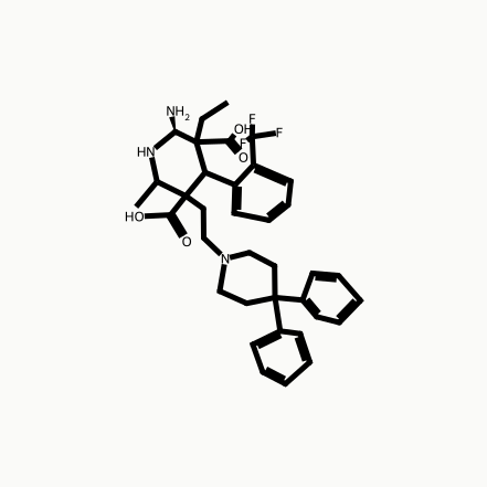 CCC1(C(=O)O)C(c2ccccc2C(F)(F)F)C(CCN2CCC(c3ccccc3)(c3ccccc3)CC2)(C(=O)O)C(C)N[C@H]1N